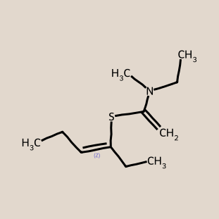 C=C(S/C(=C\CC)CC)N(C)CC